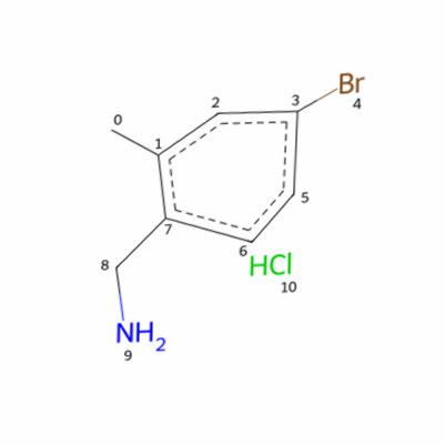 Cc1cc(Br)ccc1CN.Cl